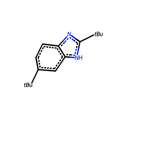 CC(C)(C)c1ccc2nc(C(C)(C)C)[nH]c2c1